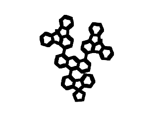 c1ccc2c(c1)-c1c(-c3c4cccc(-c5ccc6c7ccccc7n7c8ccccc8c5c67)c4cc4c(-c5ccc6c7ccccc7n7c8ccccc8c5c67)cccc34)cccc1C21CCCC1